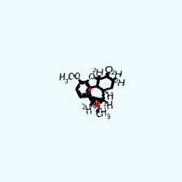 [2H]C1([2H])C[C@@H]2[C@@]34CCN(C)[C@]2([2H])C([2H])([2H])c2ccc(OC)c(c23)OC4([2H])C1=O